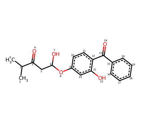 CC(C)C(=O)CC(O)Oc1ccc(C(=O)c2ccccc2)c(O)c1